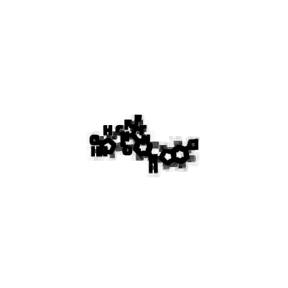 CN(C(=O)[C@@H]1CNC(=O)C1)C(c1ccc(N[C@H]2Cc3ccc(Cl)cc3C2)cn1)C(F)(F)F